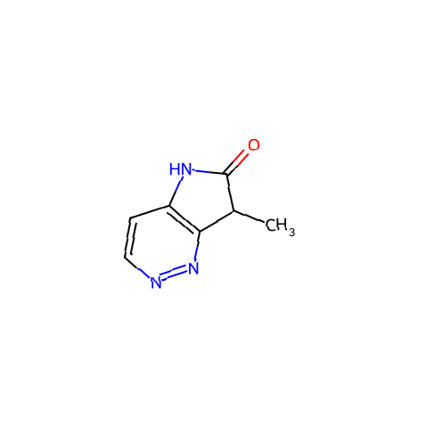 CC1C(=O)Nc2ccnnc21